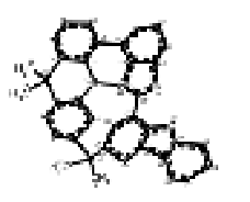 CC(C)(C)c1ccc2c(c1)B1c3c(cccc3C2(C)C)-c2cccc3oc(-c4cccc5c4oc4ccccc45)[n+]1c23